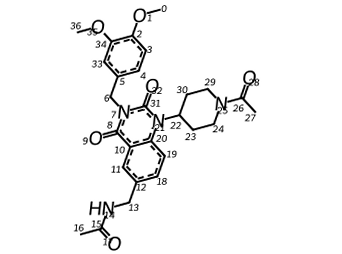 COc1ccc(Cn2c(=O)c3cc(CNC(C)=O)ccc3n(C3CCN(C(C)=O)CC3)c2=O)cc1OC